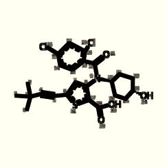 CC(C)(C)C#Cc1cc(N(C(=O)c2ccc(Cl)cc2Cl)[C@H]2CC[C@H](O)CC2)c(C(=O)O)s1